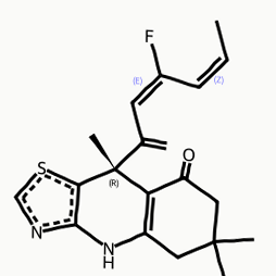 C=C(/C=C(F)\C=C/C)[C@]1(C)C2=C(CC(C)(C)CC2=O)Nc2ncsc21